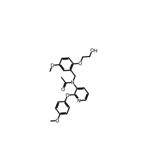 COc1ccc(Oc2ncccc2N(Cc2cc(OC)ccc2OCCO)C(C)=O)cc1